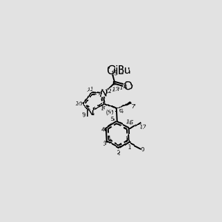 Cc1cccc([C@H](C)c2nccn2C(=O)OCC(C)C)c1C